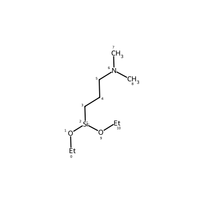 CCO[Si](CCCN(C)C)OCC